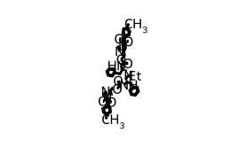 CCN(C[C@@H](Cc1ccccc1)NC(=O)OCc1cn(S(=O)(=O)c2ccc(C)cc2)cn1)C[C@@H](Cc1ccccc1)NC(=O)OCc1cn(S(=O)(=O)c2ccc(C)cc2)cn1